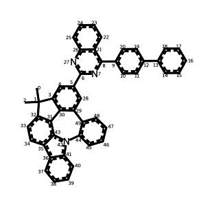 CC1(C)c2cc(-c3nc(-c4ccc(-c5ccccc5)cc4)c4ccccc4n3)cc3c2-c2c1ccc1c4ccccc4n(c21)-c1ccccc1-3